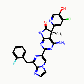 C[C@]1(c2cc(Cl)c(O)cn2)C(=O)Nc2nc(-c3cn4ccnc4c(Cc4ccccc4F)n3)nc(N)c21